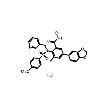 COc1ccc(S(=O)(=O)N(Cc2cccnc2)c2c(C)cc(-c3ccc4c(c3)OCO4)cc2C(=O)NO)cc1.Cl